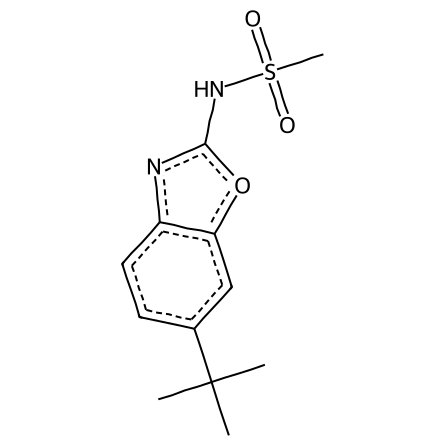 CC(C)(C)c1ccc2nc(NS(C)(=O)=O)oc2c1